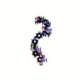 O=C1CC[C@@H](c2noc3c(NC(=O)C(F)(F)C4CCN(CC5CCC(n6cc(NC(=O)c7cnn8ccc(N9C[C@H]%10C[C@@H]9CO%10)nc78)c(C(F)F)n6)CC5)CC4)cccc23)C(=O)N1